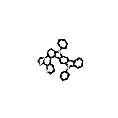 c1ccc(-n2c3ccccc3c3cc4c(cc32)c2c3c5cccnc5c5nccn5c3ccc2n4-c2ccccc2)cc1